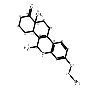 CC1Oc2cc(OSN)ccc2C2=C1C1CCCC(=O)C1(C)CC2